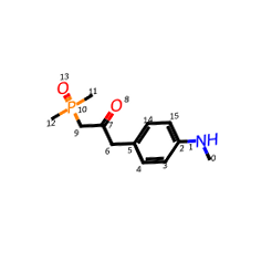 CNc1ccc(CC(=O)CP(C)(C)=O)cc1